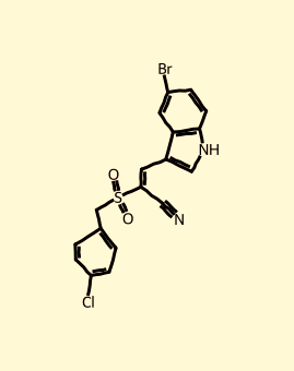 N#C/C(=C\c1c[nH]c2ccc(Br)cc12)S(=O)(=O)Cc1ccc(Cl)cc1